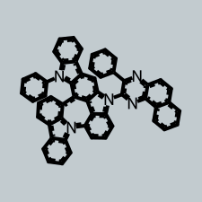 c1ccc(-c2nc3ccc4ccccc4c3nc2-n2c3cc4c5ccccc5n(-c5ccccc5)c4c4c5cccc6c7ccccc7n(c7cccc2c7c43)c65)cc1